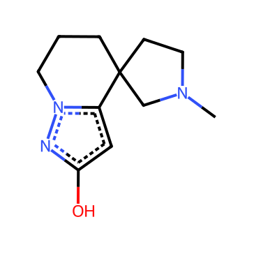 CN1CCC2(CCCn3nc(O)cc32)C1